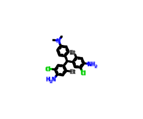 CCc1cc(N)c(Cl)cc1C(c1ccc(N(C)C)cc1)c1cc(Cl)c(N)cc1CC